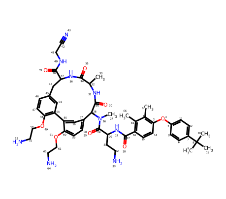 Cc1c(Oc2ccc(C(C)(C)C)cc2)ccc(C(=O)NC(CCN)C(=O)N(C)C2C(=O)NC(C)C(=O)NC(C(=O)NCC#N)Cc3ccc(OCCN)c(c3)-c3cc2ccc3OCCN)c1C